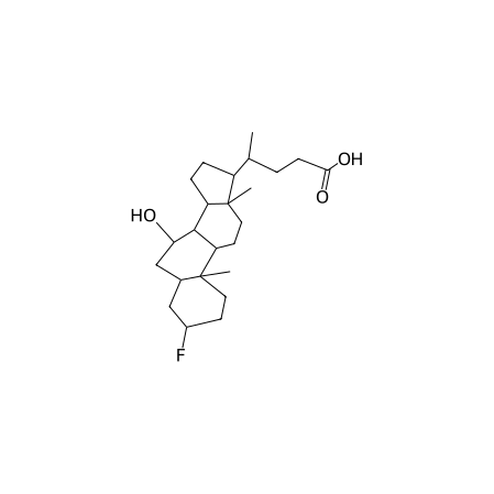 CC(CCC(=O)O)C1CCC2C3C(O)CC4CC(F)CCC4(C)C3CCC12C